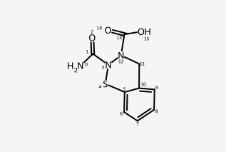 NC(=O)N1Sc2ccccc2CN1C(=O)O